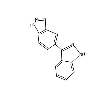 [c]1ccc2c(-c3ccc4[nH]ncc4c3)n[nH]c2c1